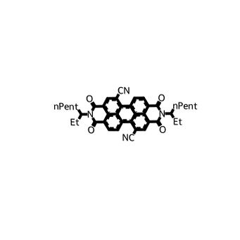 CCCCCC(CC)N1C(=O)c2ccc3c4c(C#N)cc5c6c(ccc(c7c(C#N)cc(c2c37)C1=O)c64)C(=O)N(C(CC)CCCCC)C5=O